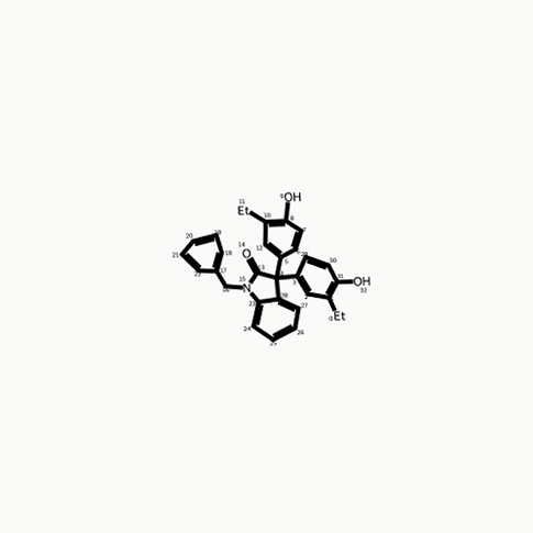 CCc1cc(C2(c3ccc(O)c(CC)c3)C(=O)N(Cc3ccccc3)c3ccccc32)ccc1O